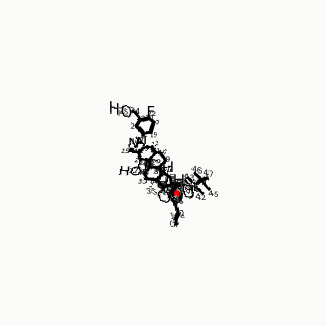 CCCC1O[C@@H]2C[C@H]3[C@@H]4CCC5=Cc6c(cnn6-c6ccc(F)c(CO)c6)C[C@]5(C)[C@H]4[C@@H](O)C[C@]3(C)[C@]2(C(=O)CO[Si](C)(C)C(C)(C)C)O1